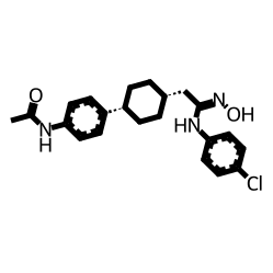 CC(=O)Nc1ccc([C@H]2CC[C@@H](C/C(=N/O)Nc3ccc(Cl)cc3)CC2)cc1